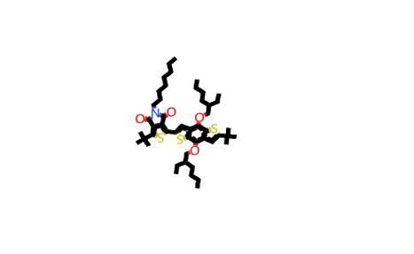 CCCCCCCCN1C(=O)c2c(-c3cc4c(OCC(CC)CCCC)c5sc(C(C)(C)C)cc5c(OCC(CC)CCCC)c4s3)sc(C(C)(C)C)c2C1=O